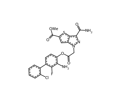 COC(=O)c1cc2c(s1)c(C(N)=O)nn2CC(=O)Oc1ccc(-c2ccccc2Cl)c(F)c1N